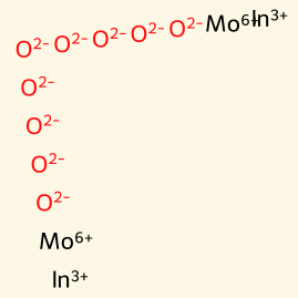 [In+3].[In+3].[Mo+6].[Mo+6].[O-2].[O-2].[O-2].[O-2].[O-2].[O-2].[O-2].[O-2].[O-2]